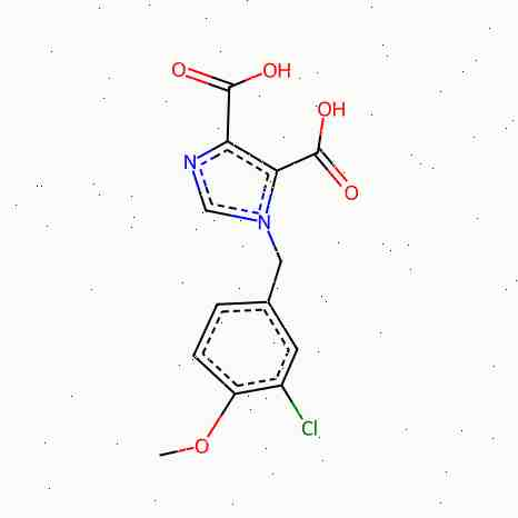 COc1ccc(Cn2cnc(C(=O)O)c2C(=O)O)cc1Cl